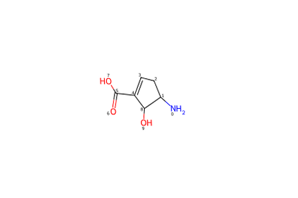 NC1CC=C(C(=O)O)C1O